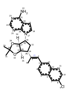 C/C(=C\c1ccc2cc(Cl)cnc2c1)[C@H]1C[C@@H](n2ccc3c(N)ncnc32)[C@@H]2OC(C)(C)O[C@@H]21